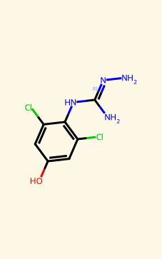 N/N=C(\N)Nc1c(Cl)cc(O)cc1Cl